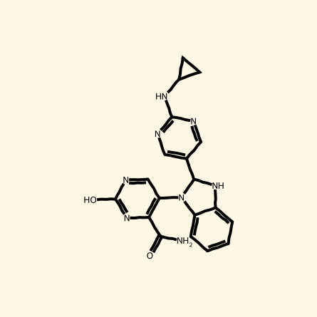 NC(=O)c1nc(O)ncc1N1c2ccccc2NC1c1cnc(NC2CC2)nc1